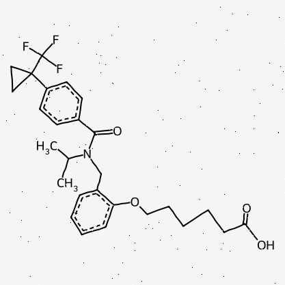 CC(C)N(Cc1ccccc1OCCCCCC(=O)O)C(=O)c1ccc(C2(C(F)(F)F)CC2)cc1